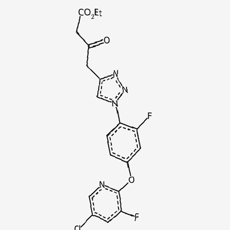 CCOC(=O)CC(=O)Cc1cn(-c2ccc(Oc3ncc(Cl)cc3F)cc2F)nn1